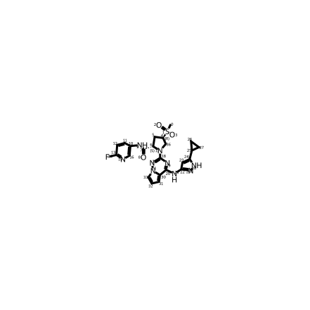 CS(=O)(=O)[C@@H]1C[C@@H](C(=O)Nc2ccc(F)nc2)N(c2nc(Nc3cc(C4CC4)[nH]n3)c3cccn3n2)C1